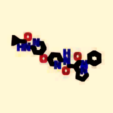 O=C(Nc1ccc(Oc2ccnc(NC(=O)C3CC3)c2)cn1)c1c2n(n(-c3ccccc3)c1=O)CCC2